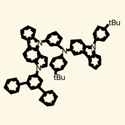 CC(C)(C)c1ccc(N(c2cccc(-n3c4ccccc4c4ccc5c(ccn5-c5cc(-c6ccccc6)cc(-c6ccccc6)c5)c43)c2)c2ccc3c(c2)c2ccccc2n3-c2ccc(C(C)(C)C)cc2)cc1